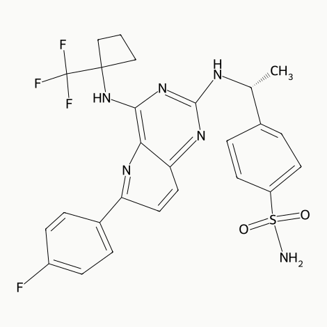 C[C@@H](Nc1nc(NC2(C(F)(F)F)CCC2)c2nc(-c3ccc(F)cc3)ccc2n1)c1ccc(S(N)(=O)=O)cc1